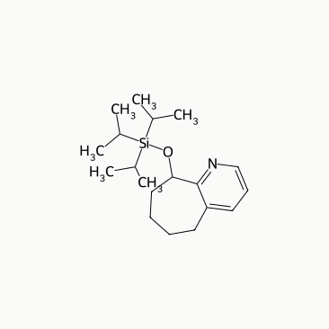 CC(C)[Si](OC1CCCCc2cccnc21)(C(C)C)C(C)C